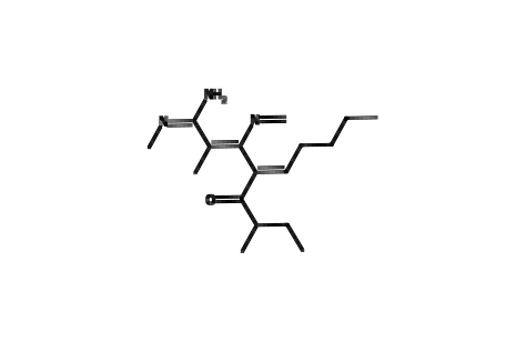 C=NC(=C(C)\C(N)=N/C)/C(=C\CCCC)C(=O)C(C)CC